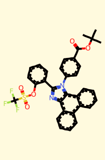 CC(C)(C)OC(=O)c1ccc(-n2c(-c3ccccc3OS(=O)(=O)C(F)(F)F)nc3c4ccccc4c4ccccc4c32)cc1